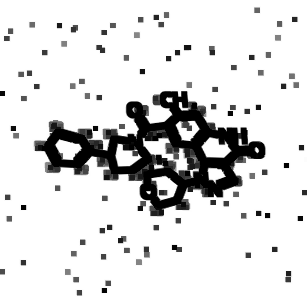 Cc1cc2[nH]c(=O)c3cnn(C4CCOCC4)c3c2cc1C(=O)N1CCCC(c2ccccc2)C1